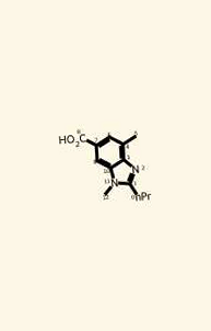 CCCc1nc2c(C)cc(C(=O)O)cc2n1C